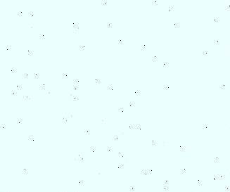 Cc1ccc(-c2cc(NC[C@H](N)c3ccccc3)ncn2)cc1Cl